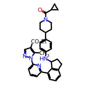 CCOC(=O)c1cnn(-c2cccc(-c3cccc4c3C(Nc3ccc(C5CCN(C(=O)C6CC6)CC5)cc3)CC4)n2)c1C